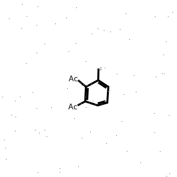 [CH]c1cccc(C(C)=O)c1C(C)=O